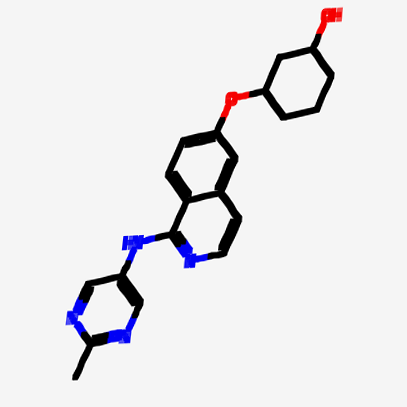 Cc1ncc(Nc2nccc3cc(OC4CCCC(O)C4)ccc23)cn1